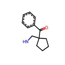 [NH]CC1(C(=O)c2ccccc2)CCCC1